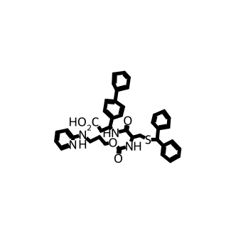 O=C(O)CC(NC(=O)C(CSC(c1ccccc1)c1ccccc1)NC(=O)OCCCNc1ccccn1)c1ccc(-c2ccccc2)cc1